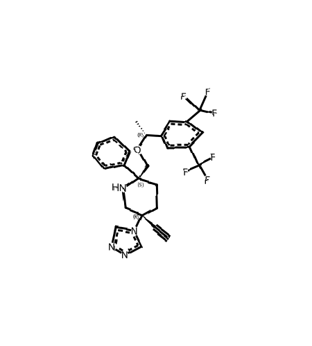 C#C[C@]1(n2cnnc2)CC[C@@](CO[C@H](C)c2cc(C(F)(F)F)cc(C(F)(F)F)c2)(c2ccccc2)NC1